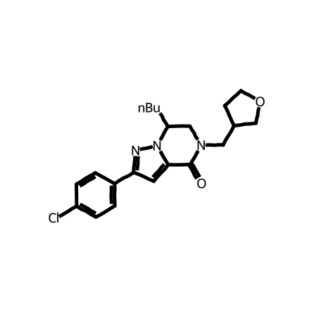 CCCCC1CN(CC2CCOC2)C(=O)c2cc(-c3ccc(Cl)cc3)nn21